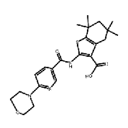 CC1(C)Cc2c(sc(NC(=O)c3ccc(N4CCOCC4)nc3)c2C(=O)O)C(C)(C)C1